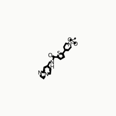 CS(=O)(=O)N1CC=C(c2ccc(C(=O)NCc3ccn4ccnc4c3)s2)CC1